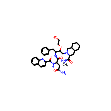 CNC(=O)C1CC2CCCCC2CN1CC(OCCO)C(Cc1ccccc1)NC(=O)C(CC(N)=O)NC(=O)c1ccc2ccccc2n1